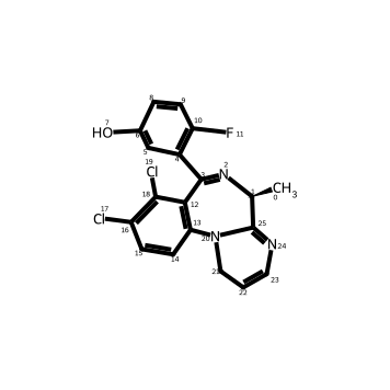 C[C@@H]1N=C(c2cc(O)ccc2F)c2c(ccc(Cl)c2Cl)N2CC=CN=C12